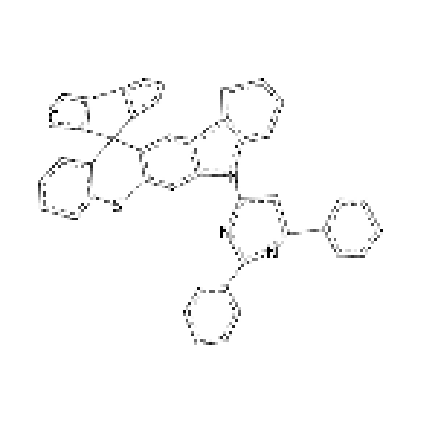 c1ccc(-c2cc(-n3c4ccccc4c4cc5c(cc43)Sc3ccccc3C53c4ccccc4-c4ccccc43)nc(-c3ccccc3)n2)cc1